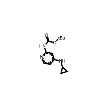 CC(C)(C)OC(=O)Nc1cc(NC2CC2)ccn1